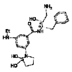 CCNc1cc(C(=O)N[C@@H](Cc2ccccc2)[C@H](O)CN)cc(N2CCCS2(O)O)c1